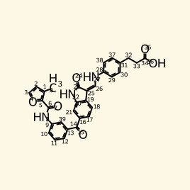 Cc1ccoc1C(=O)Nc1cccc(C(=O)c2ccc3c(c2)NC(=O)C3=CNc2ccc(CCC(=O)O)cc2)c1